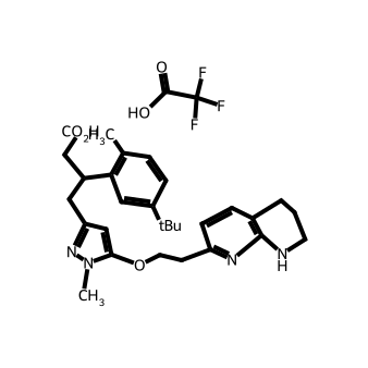 Cc1ccc(C(C)(C)C)cc1C(CC(=O)O)Cc1cc(OCCc2ccc3c(n2)NCCC3)n(C)n1.O=C(O)C(F)(F)F